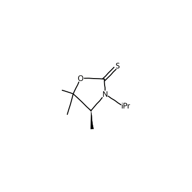 CC(C)N1C(=S)OC(C)(C)[C@@H]1C